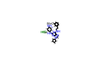 COc1cccc(CCNc2nc(NC3CCC(N)CC3)nc3c2ncn3C2CCCC2)c1.Cl.Cl